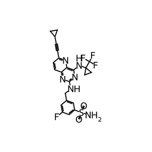 NS(=O)(=O)c1cc(F)cc(CNc2nc(NC3(C(F)(F)F)CC3)c3nc(C#CC4CC4)ccc3n2)c1